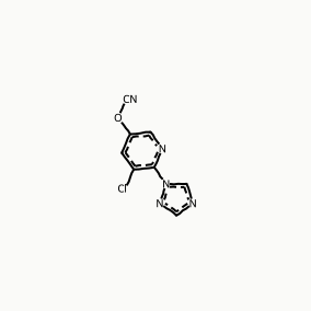 N#COc1cnc(-n2cncn2)c(Cl)c1